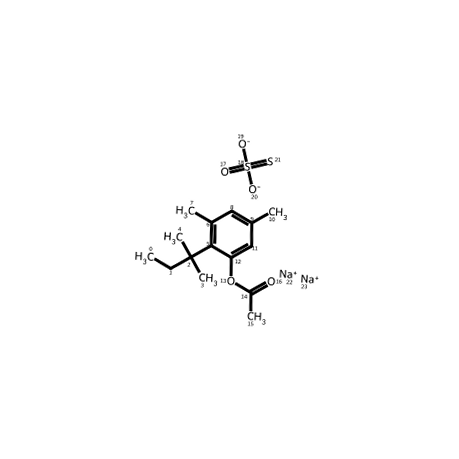 CCC(C)(C)c1c(C)cc(C)cc1OC(C)=O.O=S([O-])([O-])=S.[Na+].[Na+]